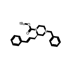 CC(C)(C)OC(=O)N1CCN(Cc2ccccc2)C[C@H]1C/C=C/c1ccccc1